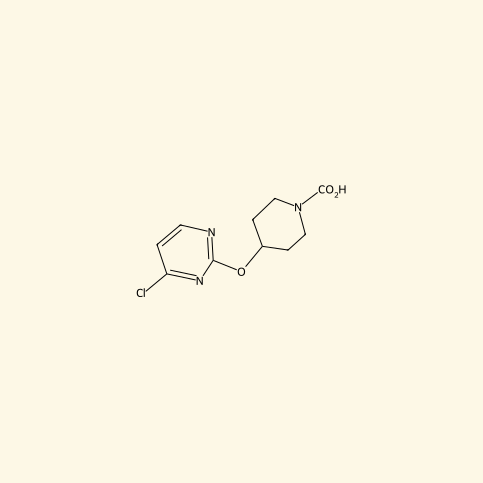 O=C(O)N1CCC(Oc2nccc(Cl)n2)CC1